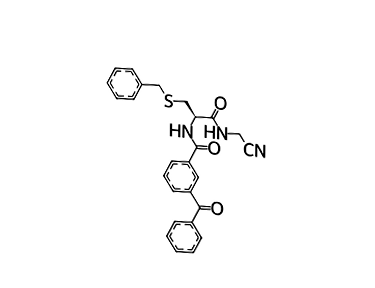 N#CCNC(=O)[C@H](CSCc1ccccc1)NC(=O)c1cccc(C(=O)c2ccccc2)c1